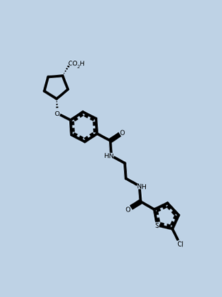 O=C(NCCNC(=O)c1ccc(Cl)s1)c1ccc(O[C@@H]2CC[C@H](C(=O)O)C2)cc1